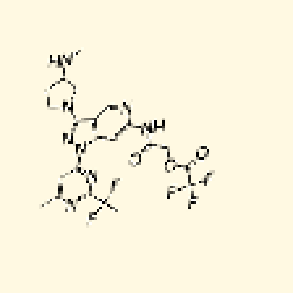 CNC1CCN(c2nn(-c3cc(C)nc(C(C)(F)F)n3)c3cc(NC(=O)COC(=O)C(F)(F)F)ncc23)C1